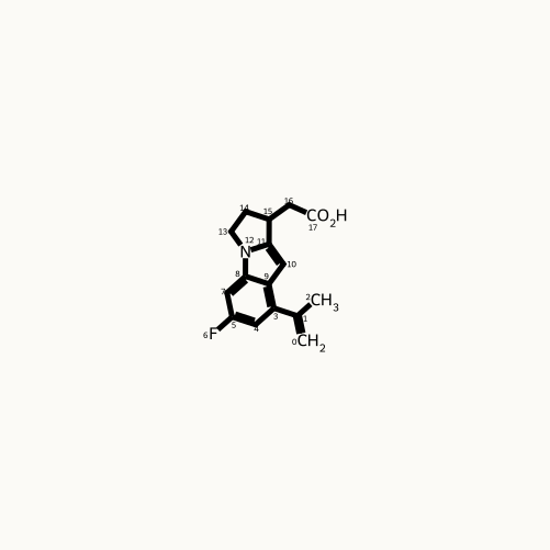 C=C(C)c1cc(F)cc2c1cc1n2CCC1CC(=O)O